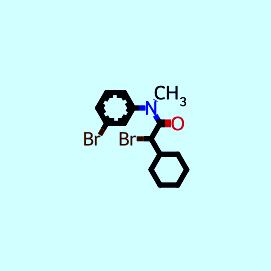 CN(C(=O)C(Br)C1CCCCC1)c1cccc(Br)c1